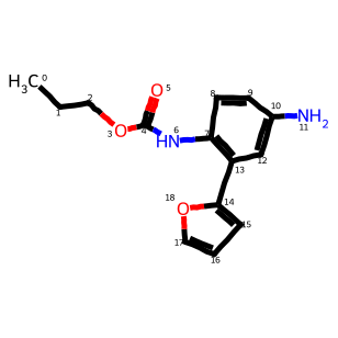 CCCOC(=O)Nc1ccc(N)cc1-c1ccco1